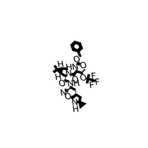 C[C@@H](OC(C)(C)C(F)(F)F)[C@H](NC(=O)OCc1ccccc1)C(=O)N1C[C@H]2[C@@H]([C@H]1C(=O)N[C@H](C#N)C[C@@H]1CC3(CC3)NC1=O)C2(C)C